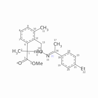 CCCCC(C)(C(=O)OC)c1cccc(C)c1CO/N=C(\C)c1ccc(CC)cc1